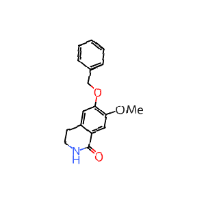 COc1cc2c(cc1OCc1ccccc1)CCNC2=O